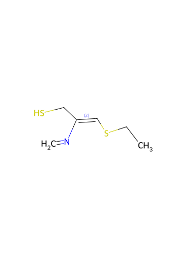 C=N/C(=C\SCC)CS